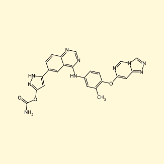 Cc1cc(Nc2ncnc3ccc(-c4cc(OC(N)=O)n[nH]4)cc23)ccc1Oc1cc2nncn2cn1